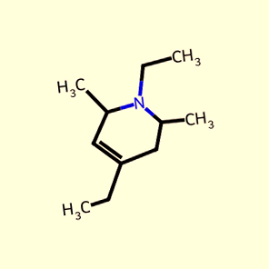 CCC1=CC(C)N(CC)C(C)C1